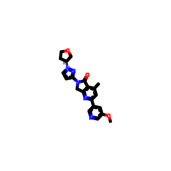 COc1cncc(-c2cc(C)c3c(n2)CN(c2ccn([C@@H]4CCOC4)n2)C3=O)c1